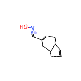 O/N=C/C1=CCC2C=CCC2C1